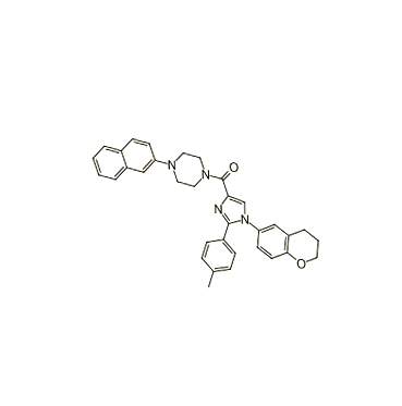 Cc1ccc(-c2nc(C(=O)N3CCN(c4ccc5ccccc5c4)CC3)cn2-c2ccc3c(c2)CCCO3)cc1